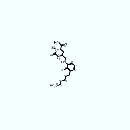 CC(C)(C)OC(=O)NC(CCC(N)=O)CNc1cccc(CCCCCC(=O)O)c1F